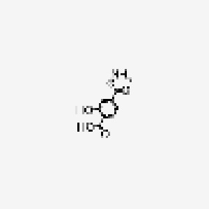 NOC(=O)c1ccc(C(=O)O)c(O)c1